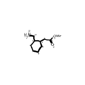 COC(=O)CC1CCCCC1CN